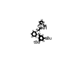 CC(NC(=O)CS[C@@H]1CCCC[C@H]1Sc1cc(C(C)(C)C)cc(C(C)(C)C)c1)N1CCCC1